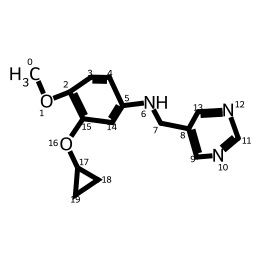 COc1ccc(NCc2cncnc2)cc1OC1CC1